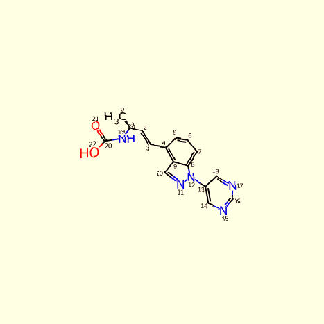 C[C@@H](C=Cc1cccc2c1cnn2-c1cncnc1)NC(=O)O